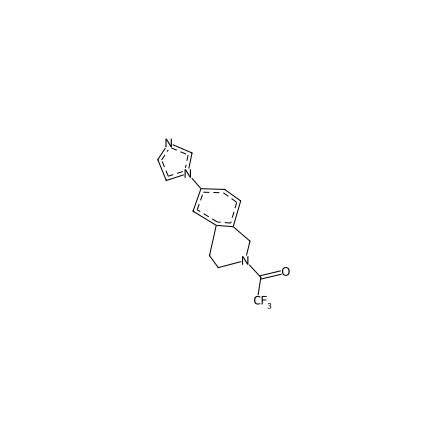 O=C(N1CCc2cc(-n3ccnc3)ccc2C1)C(F)(F)F